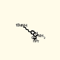 CCCc1cc2c(N)nc3ccc(CCCCCNC(C)(C)C)cc3c2o1